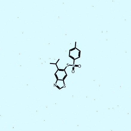 Cc1ccc(S(=O)(=O)Sc2cc3scnc3cc2C(C)C)cc1